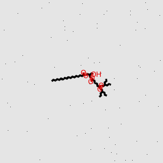 CCCCCC=CCC=CCCCCCCCC(=O)OCC(CO)COC(=O)CCCCC(OCC(CCC)CCC)OCC(CCC)CCC